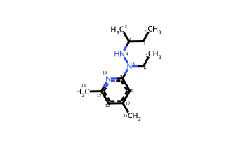 CCC(C)NN(CC)c1cc(C)cc(C)n1